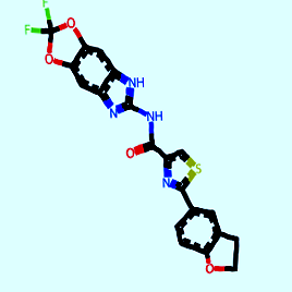 O=C(Nc1nc2cc3c(cc2[nH]1)OC(F)(F)O3)c1csc(-c2ccc3c(c2)CCO3)n1